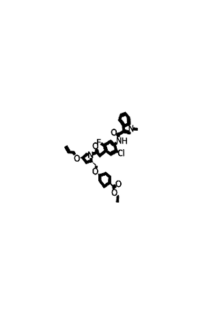 C=CCO[C@H]1C[C@@H](CO[C@H]2CC[C@H](C(=O)OCC)CC2)N(C(=O)Cc2cc(Cl)c(NC(=O)c3cn(C)c4ccccc34)cc2F)C1